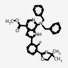 COC(=O)c1cnc(N(Cc2ccccc2)Cc2ccccc2)c2[nH]c(-c3cccc(C4=NC(C)(C)CO4)c3F)cc12